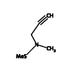 C#CCN(C)SC